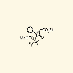 CCOC(=O)CN1C(=O)C(OC(C)(C)C(F)(F)F)=C1c1ccccc1C(=O)OC